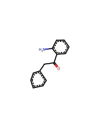 Nc1ccccc1C(=O)Cc1ccccc1